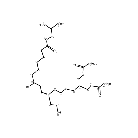 CCCCCCCCC(CCCCCC)COC(=O)CCCCCN(CC)CCN(CCO)CCCCC(COC(=O)CCCCCCC)COC(=O)CCCCCCC